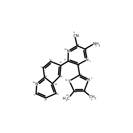 Cc1nc(-c2nc(N)c(C#N)nc2-c2ccc3ncccc3c2)sc1C